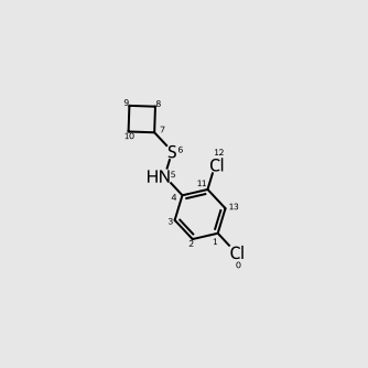 Clc1ccc(NSC2CCC2)c(Cl)c1